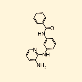 Nc1cccnc1Nc1cccc(NC(=O)c2ccccc2)c1